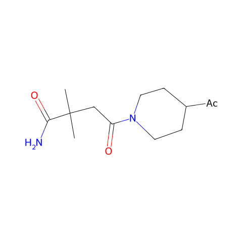 CC(=O)C1CCN(C(=O)CC(C)(C)C(N)=O)CC1